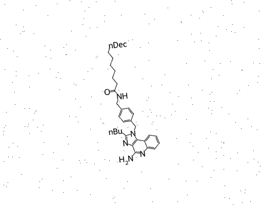 CCCCCCCCCCCCCCCCC(=O)NCc1ccc(Cn2c(CCCC)nc3c(N)nc4ccccc4c32)cc1